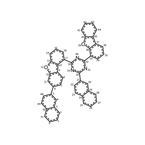 c1ccc2cc(-c3ccc4c(c3)oc3cccc(-c5nc(-c6ccc7ccccc7c6)nc(-c6cccc7c6oc6ccccc67)n5)c34)ccc2c1